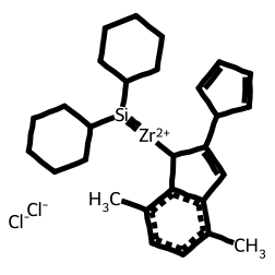 Cc1ccc(C)c2c1C=C(C1C=CC=C1)[CH]2[Zr+2]=[Si](C1CCCCC1)C1CCCCC1.[Cl-].[Cl-]